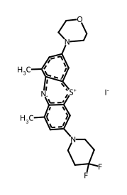 Cc1cc(N2CCOCC2)cc2[s+]c3cc(N4CCC(F)(F)CC4)cc(C)c3nc12.[I-]